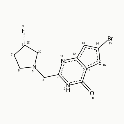 O=c1[nH]c(CN2CC[C@H](F)C2)nc2cc(Br)sc12